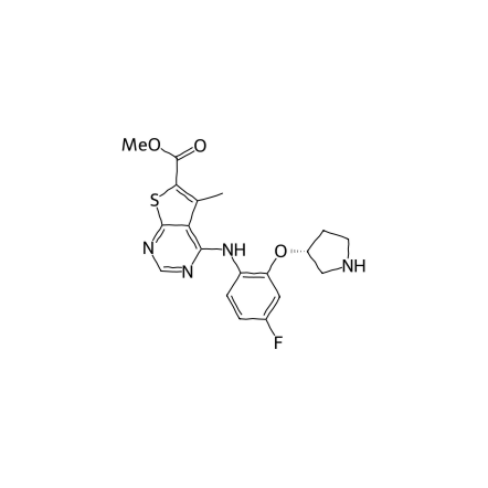 COC(=O)c1sc2ncnc(Nc3ccc(F)cc3O[C@@H]3CCNC3)c2c1C